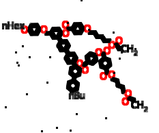 C=CC(=O)OCCCCCCOc1ccc(C(=O)Oc2ccc(COc3ccc(OCCCCCC)cc3)cc2-c2ccc(-c3ccc(C4(OC(=O)c5ccc(OC(=O)C6CCC(C(=O)OCCCCCOC(=O)C=C)CC6)cc5)CCC(C5CCC(CCCC)CC5)CC4)cc3)cc2)cc1